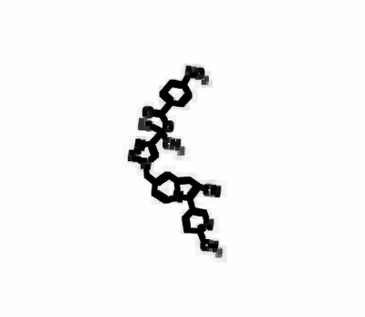 CCC(C)(OC(=O)c1ccc([N+](=O)[O-])cc1)c1cn(Cc2ccn3c(-c4ccc(C)nc4)c(C#N)cc3c2)nn1